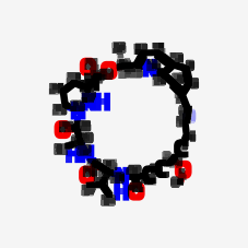 CO[C@@H]1CC/C=C/c2ccc3ccc(nc3c2)[C@@H](C)OC(=O)[C@@H]2CCCN(N2)C(=O)[C@H](C)NC(=O)[C@H](C(C)C)NC(=O)CC1